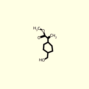 C=C(C(=O)OC)C1CCC(CO)CC1